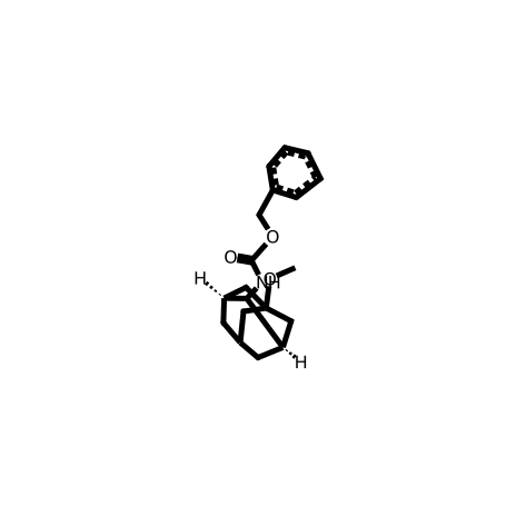 COC12CC3C[C@H](C1)C(NC(=O)OCc1ccccc1)[C@@H](C3)C2